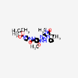 CC[C@@H]1C(=O)N(C)c2cnc(Nc3ccc(C(=O)NC4CCN(C(=O)OC(C)(C)C)C4)cc3OC)nc2N1C1CCCC1